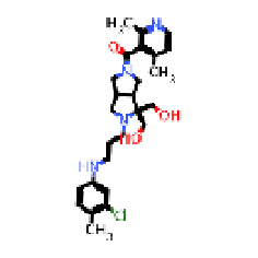 Cc1ccc(NCCCN2CC3CN(C(=O)c4c(C)ccnc4C)CC3C2(CO)CO)cc1Cl